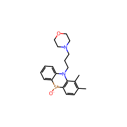 Cc1ccc2c(c1C)N(CCCN1CCOCC1)c1ccccc1[S+]2[O-]